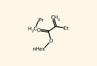 C=C(CC)C(=O)OCCCCCC.CC(C)C